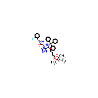 CC1(C)OB(CCCCC(NC(c2ccccc2)(c2ccccc2)c2ccccc2)c2nnnn2CC(=O)NCc2ccccc2F)OC1(C)C